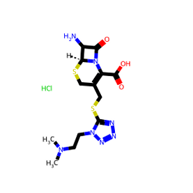 CN(C)CCn1nnnc1SCC1=C(C(=O)O)N2C(=O)C(N)[C@@H]2SC1.Cl